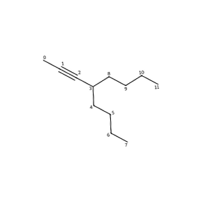 CC#CC(CCCC)CCCC